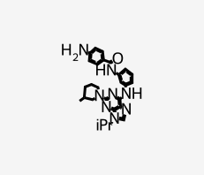 CC1CCCN(c2nc(Nc3cccc(NC(=O)c4ccc(N)cc4)c3)c3ncn(C(C)C)c3n2)C1